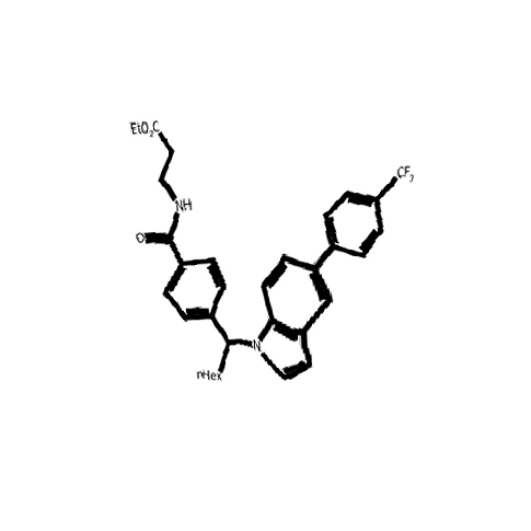 CCCCCCC(c1ccc(C(=O)NCCC(=O)OCC)cc1)n1ccc2cc(-c3ccc(C(F)(F)F)cc3)ccc21